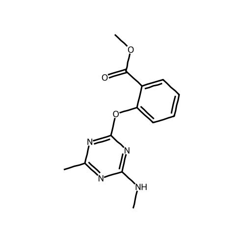 CNc1nc(C)nc(Oc2ccccc2C(=O)OC)n1